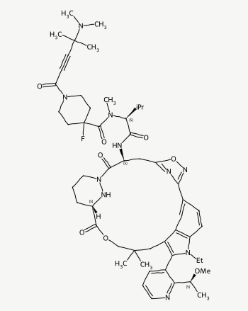 CCn1c(-c2cccnc2[C@H](C)OC)c2c3cc(ccc31)-c1noc(n1)C[C@H](NC(=O)[C@H](C(C)C)N(C)C(=O)C1(F)CCN(C(=O)C#CC(C)(C)N(C)C)CC1)C(=O)N1CCC[C@H](N1)C(=O)OCC(C)(C)C2